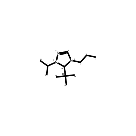 CCCN1C=NN(C(C)C)C1C(C)(C)C